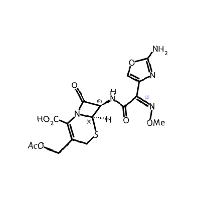 CO/N=C(\C(=O)N[C@@H]1C(=O)N2C(C(=O)O)=C(COC(C)=O)CS[C@H]12)c1coc(N)n1